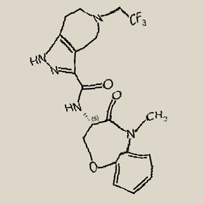 CN1C(=O)[C@@H](NC(=O)c2n[nH]c3c2CN(CC(F)(F)F)CC3)COc2ccccc21